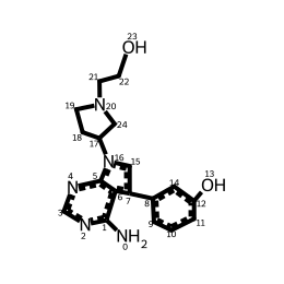 Nc1ncnc2c1c(-c1cccc(O)c1)cn2C1CCN(CCO)C1